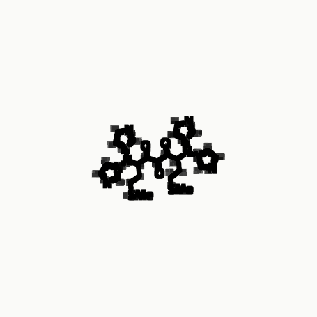 CSCCC(C(=O)C(=O)C(=O)C(CCSC)N(n1ccnc1)n1ccnc1)N(n1ccnc1)n1ccnc1